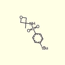 CC1(NS(=O)(=O)c2ccc(C(C)(C)C)cc2)COC1